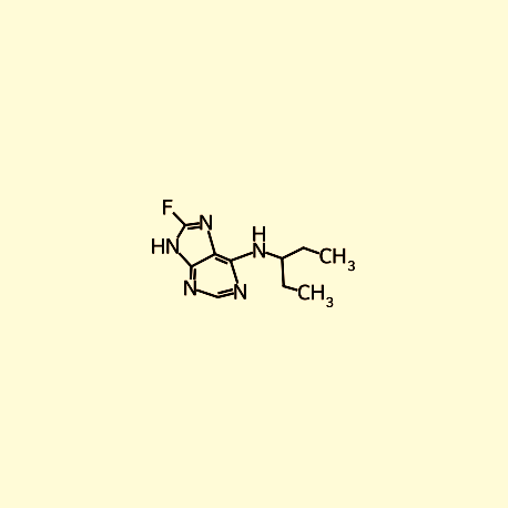 CCC(CC)Nc1ncnc2[nH]c(F)nc12